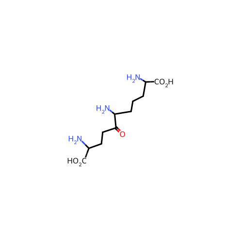 NC(CCCC(N)C(=O)CCC(N)C(=O)O)C(=O)O